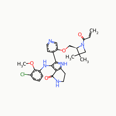 C=CC(=O)N1CC(C)(C)[C@H]1COc1cnccc1-c1[nH]c2c(c1Nc1cccc(Cl)c1OC)C(=O)NCC2